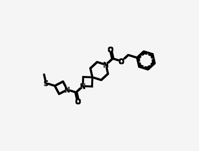 CSC1CN(C(=O)N2CC3(CCN(C(=O)OCc4ccccc4)CC3)C2)C1